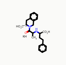 CC(NC(CCc1ccccc1)C(=O)O)C(=O)N1Cc2ccccc2C[C@H]1C(=O)O.[KH]